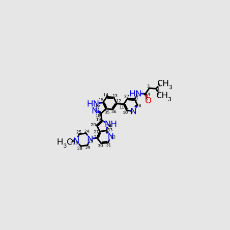 CC(C)CC(=O)Nc1cncc(-c2ccc3[nH]nc(-c4cc5c(N6CCN(C)CC6)ccnc5[nH]4)c3c2)c1